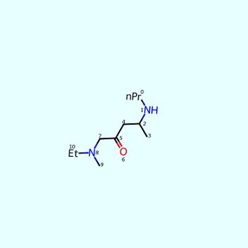 CCCNC(C)CC(=O)CN(C)CC